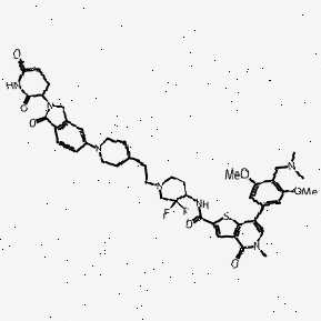 COc1cc(-c2cn(C)c(=O)c3cc(C(=O)NC4CCN(CCC5CCN(c6ccc7c(c6)CN(C6CCC(=O)NC6=O)C7=O)CC5)CC4(F)F)sc23)cc(OC)c1CN(C)C